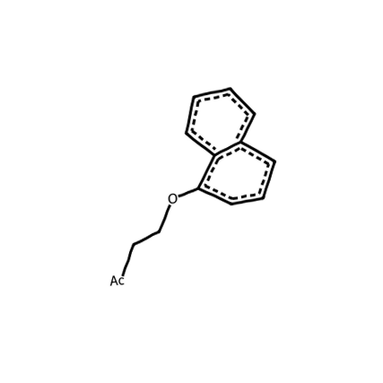 CC(=O)CCOc1cccc2ccccc12